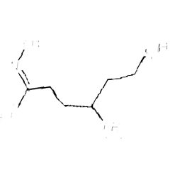 CCCC(C)CC/C(C)=N\C